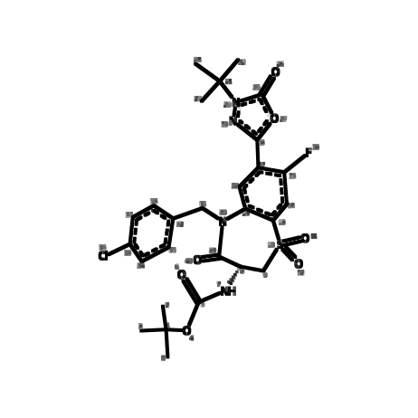 CC(C)(C)OC(=O)N[C@H]1CS(=O)(=O)c2cc(F)c(-c3nn(C(C)(C)C)c(=O)o3)cc2N(Cc2ccc(Cl)cc2)C1=O